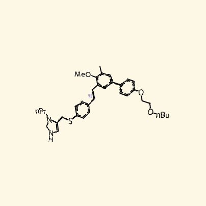 CCCCOCCOc1ccc(-c2cc(C)c(OC)c(/C=C/c3ccc(SCC4=CNCN4CCC)cc3)c2)cc1